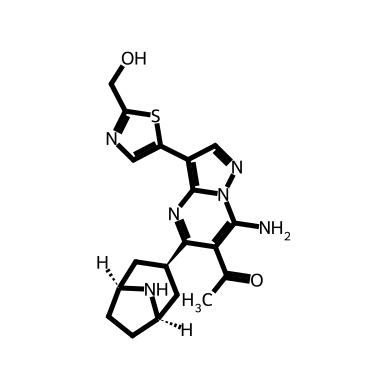 CC(=O)c1c([C@H]2C[C@H]3CC[C@@H](C2)N3)nc2c(-c3cnc(CO)s3)cnn2c1N